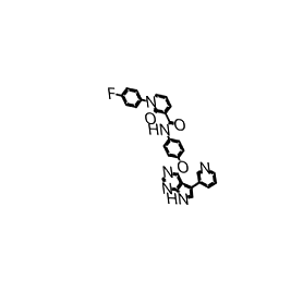 O=C(Nc1ccc(Oc2ncnc3[nH]cc(-c4cccnc4)c23)cc1)c1cccn(-c2ccc(F)cc2)c1=O